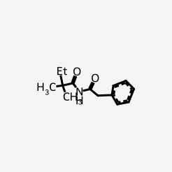 CCC(C)(C)C(=O)NC(=O)Cc1ccccc1